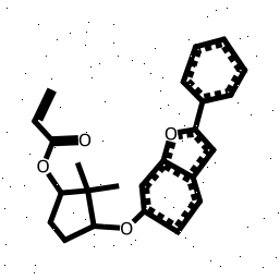 C=CC(=O)OC1CCC(Oc2ccc3cc(-c4ccccc4)oc3c2)C1(C)C